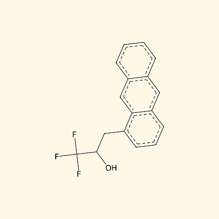 OC(Cc1cccc2cc3ccccc3cc12)C(F)(F)F